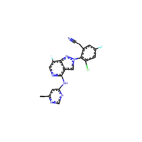 Cc1cc(Nc2ncc(F)c3nn(-c4c(Cl)cc(F)cc4C#N)cc23)ncn1